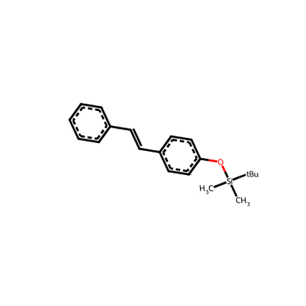 CC(C)(C)[Si](C)(C)Oc1[c]cc(C=Cc2ccccc2)cc1